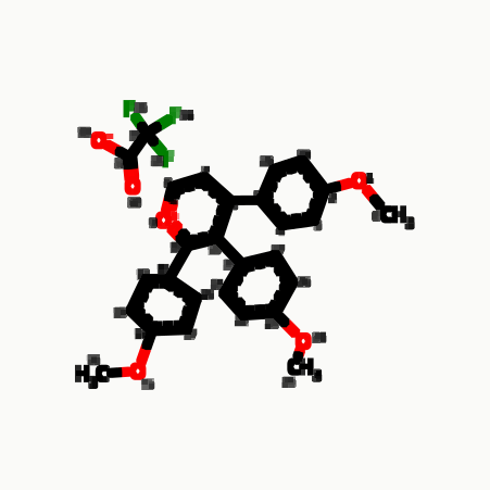 COc1ccc(-c2cc[o+]c(-c3ccc(OC)cc3)c2-c2ccc(OC)cc2)cc1.O=C([O-])C(F)(F)F